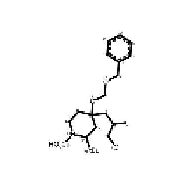 CC(CO)CC1(OCOCc2ccccc2)CCN(C(=O)O)C(C(C)(C)C)C1